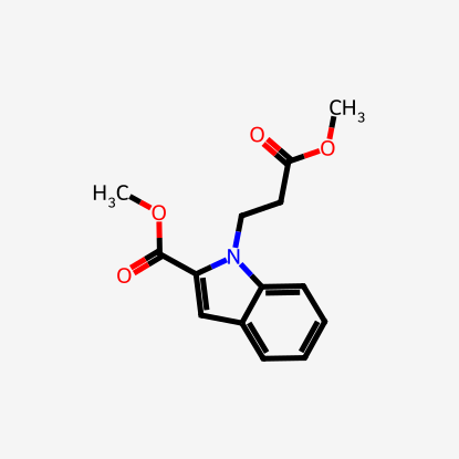 COC(=O)CCn1c(C(=O)OC)cc2ccccc21